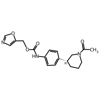 CC(=O)N1CCC[C@H](c2ccc(NC(=O)OCc3cnco3)cc2)C1